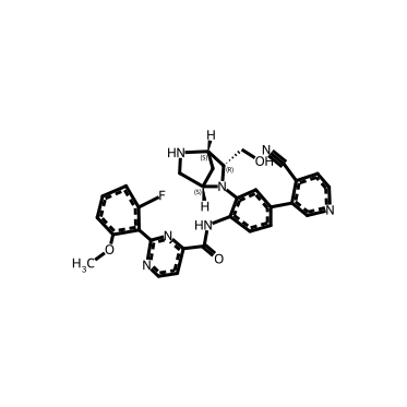 COc1cccc(F)c1-c1nccc(C(=O)Nc2ccc(-c3cnccc3C#N)cc2N2[C@@H]3CN[C@@H](C3)[C@@H]2CO)n1